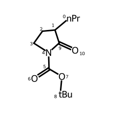 CCCC1CCN(C(=O)OC(C)(C)C)C1=O